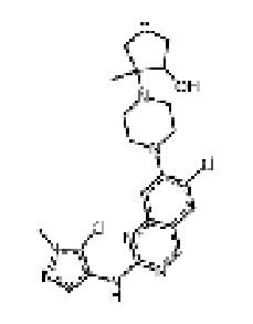 Cn1ncc(Nc2ncc3cc(Cl)c(N4CCN(C5(C)COCC5O)CC4)cc3n2)c1Cl